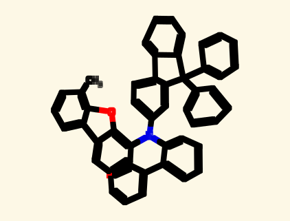 Cc1cccc2c1oc1c(N(c3ccc4c(c3)C(c3ccccc3)(c3ccccc3)c3ccccc3-4)c3ccccc3-c3ccccc3)cccc12